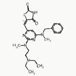 CCN(CC)CCN(C)c1nc(/C=C2/SC(=O)NC2=O)cc(N(C)Cc2ccccc2)n1